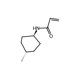 C=CC(=O)N[C@H]1CC[C@H](C)CC1